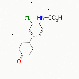 O=C1CCC(c2ccc(NC(=O)O)c(Cl)c2)CC1